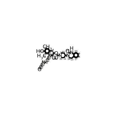 Cc1cc(C[C@@H](OC(=O)N2CCC(N3CCc4ccccc4NC3=O)CC2)C(=O)N=C=C=CN=C=C=O)cc(C)c1O